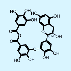 O=C(OC(=O)c1cc(O)c(O)c(O)c1)c1cc(O)c(O)c(O)c1.Oc1cc(O)c2c(c1)O[C@H](c1ccc(O)c(O)c1)[C@@H](O)C2